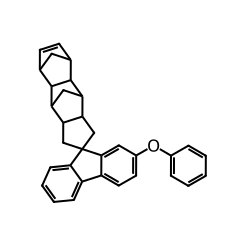 C1=CC2CC1C1C3CC(C4CC5(CC43)c3ccccc3-c3ccc(Oc4ccccc4)cc35)C21